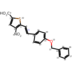 O=C(O)c1cc([N+](=O)[O-])c(/C=C/c2ccc(OCc3ccccc3)cc2)s1